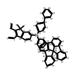 C=CC1=C(C=C)C(C)(C)c2cc(N(c3ccc(-c4ccccc4)cc3)c3cccc(-c4cccc5c4C4(c6ccccc6-c6ccccc64)c4ccccc4-5)c3)ccc21